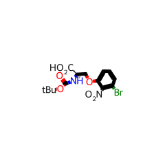 CC(C)(C)OC(=O)N[C@@H](COc1cccc(Br)c1[N+](=O)[O-])C(=O)O